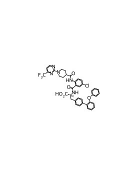 O=C(N[C@@H](Cc1ccc(-c2ccccc2Oc2ccccc2)cc1)C(=O)O)c1cc(Cl)ccc1NC(=O)C1CCN(c2nccc(C(F)(F)F)n2)CC1